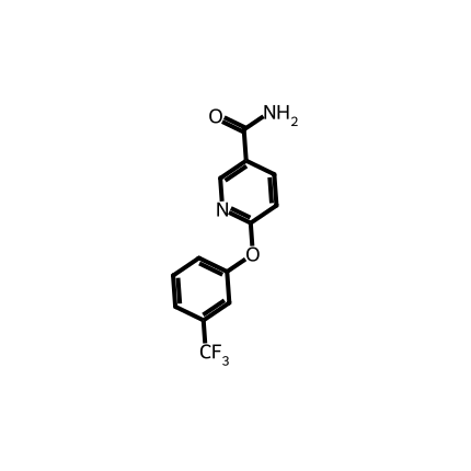 NC(=O)c1ccc(Oc2cccc(C(F)(F)F)c2)nc1